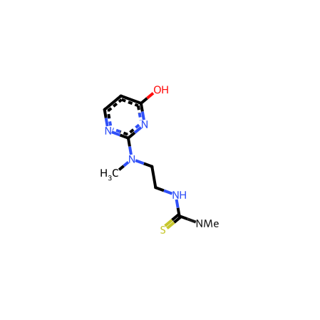 CNC(=S)NCCN(C)c1nccc(O)n1